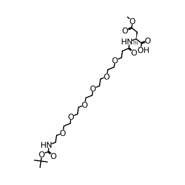 COC(=O)C[C@H](NC(=O)CCOCCOCCOCCOCCOCCOCCNC(=O)OC(C)(C)C)C(=O)O